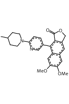 COc1cc2cc3c(c(-c4ccc(N5CCC(C)CC5)nc4)c2cc1OC)C(=O)OC3